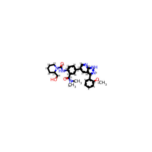 COc1ccccc1-c1n[nH]c2ncc(-c3ccc(NC(=O)N4CCCCC4CO)c(C(=O)N(C)C)c3)cc12